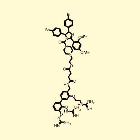 CCOc1cc(OC)ccc1C1=NC(c2ccc(Br)cc2)C(c2ccc(Br)cc2)N1C(=O)N1CCN(CCOC(=O)CCC(=O)NCc2ccc(-c3cccc(ONC(=N)N)c3ONC(=N)N)cc2OCCNC(=N)N)CC1